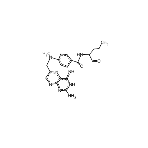 CCCC(C=O)NC(=O)c1ccc(N(C)Cc2cnc3nc(N)[nH]c(=N)c3n2)cc1